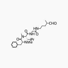 CN[C@@H](Cc1ccccc1)C(=O)N(C)[C@@H](CC(C)C)C(=O)NCC(=O)NCCCC(C)C=O